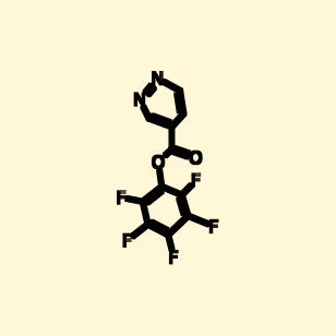 O=C(Oc1c(F)c(F)c(F)c(F)c1F)c1ccnnc1